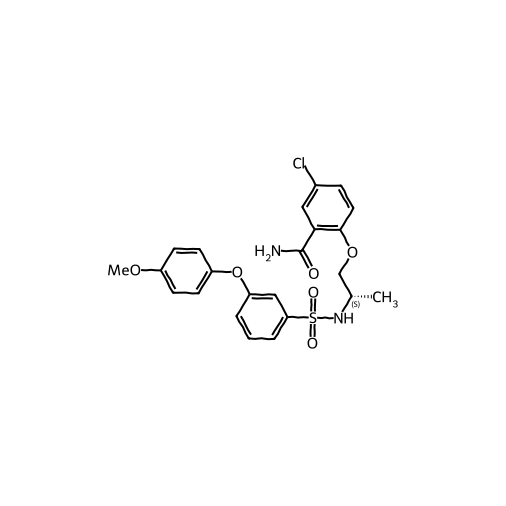 COc1ccc(Oc2cccc(S(=O)(=O)N[C@@H](C)COc3ccc(Cl)cc3C(N)=O)c2)cc1